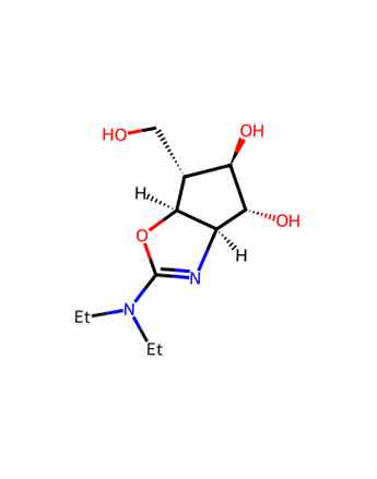 CCN(CC)C1=N[C@@H]2[C@@H](O)[C@H](O)[C@@H](CO)[C@@H]2O1